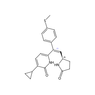 CSc1ccc(/C(=C/[C@H]2CCC(=O)N2)c2ccc(C3CC3)c(=O)[nH]2)cc1